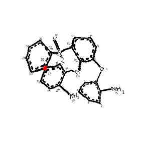 Nc1ccccc1Oc1cccc(S(=O)(=O)c2ccccc2)c1Oc1ccccc1N